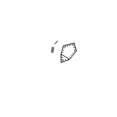 O=PO.c1cc2cc-2c1